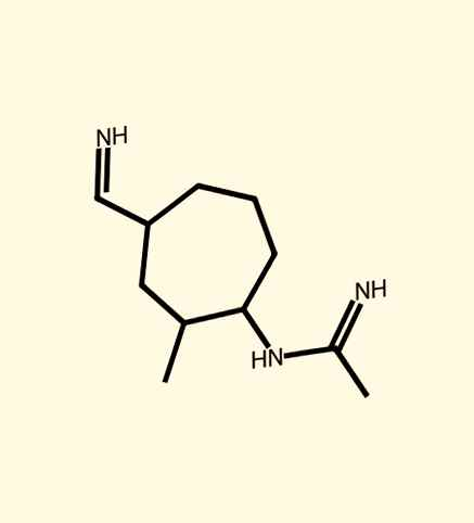 CC(=N)NC1CCCC(C=N)CC1C